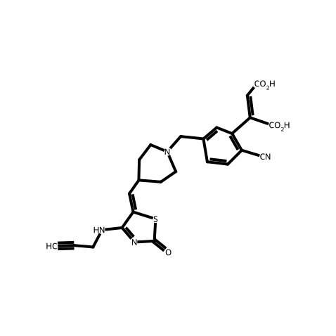 C#CCNC1=NC(=O)S/C1=C\C1CCN(Cc2ccc(C#N)c(/C(=C/C(=O)O)C(=O)O)c2)CC1